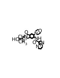 CC(C)(O)[C@H](F)CN1Cc2cc(NC(=O)c3cnn4cccnc34)c(N3CCOCC3)cc2C1=O